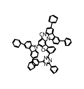 N#Cc1cc(-n2c3ccc(-c4ccccc4)cc3c3cc(-c4ccccc4)ccc32)c2oc3c(-c4nc(-c5ccccc5)nc(-c5ccccc5)n4)cccc3c2c1-n1c2ccc(-c3ccccc3)cc2c2cc(-c3ccccc3)ccc21